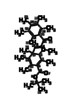 COC1C(C)=C(C(=O)OC(C)(C)C)C(C)=C(C)C1(C)C=CC(=O)c1c(C)c(C)c(C)c(C)c1C